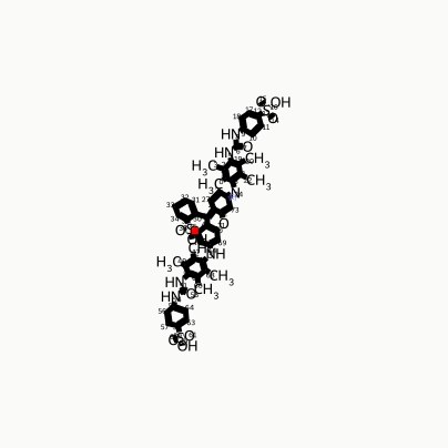 Cc1c(C)c(NC(=O)Nc2ccc(S(=O)(=O)O)cc2)c(C)c(C)c1/N=c1\ccc2c(-c3ccccc3S(=O)(=O)O)c3ccc(Nc4c(C)c(C)c(NC(=O)Nc5ccc(S(=O)(=O)O)cc5)c(C)c4C)cc3oc-2c1